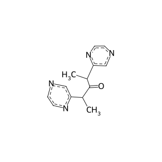 CC(C(=O)C(C)c1cnccn1)c1cnccn1